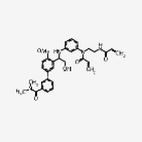 C=CC(=O)NCCN(C(=O)C=C)c1cccc(NC(CO)c2cc(-c3cccc(C(=O)N(C)C)c3)ccc2OC)c1